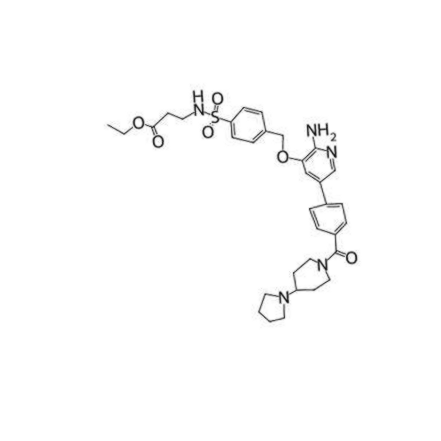 CCOC(=O)CCNS(=O)(=O)c1ccc(COc2cc(-c3ccc(C(=O)N4CCC(N5CCCC5)CC4)cc3)cnc2N)cc1